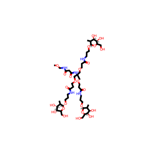 COCNC(=O)CC(=O)NC(COCCC(=O)NCCCO[C@@H]1OC(CO)[C@H](O)[C@H](O)C1C)(COCCC(=O)NCCCO[C@@H]1OC(CO)[C@H](O)[C@H](O)C1C)COCCC(=O)NCCCO[C@@H]1OC(CO)[C@H](O)[C@H](O)C1C